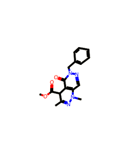 COC(=O)C1C(C)=NN(C)c2cnn(Cc3ccccc3)c(=O)c21